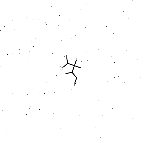 CCC(I)C(C)(I)C(I)CI